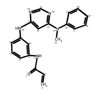 C=CC(=O)Nc1cccc(Nc2cc(N(C)c3ccccc3)ncn2)c1